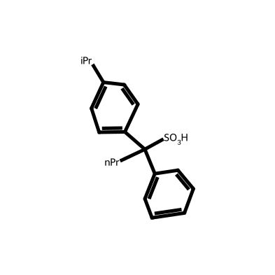 CCCC(c1ccccc1)(c1ccc(C(C)C)cc1)S(=O)(=O)O